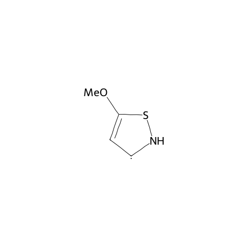 COC1=C[CH]NS1